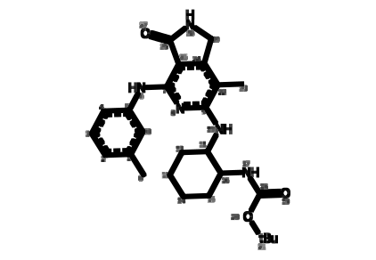 Cc1cccc(Nc2nc(NC3CCCCC3NC(=O)OC(C)(C)C)c(C)c3c2C(=O)NC3)c1